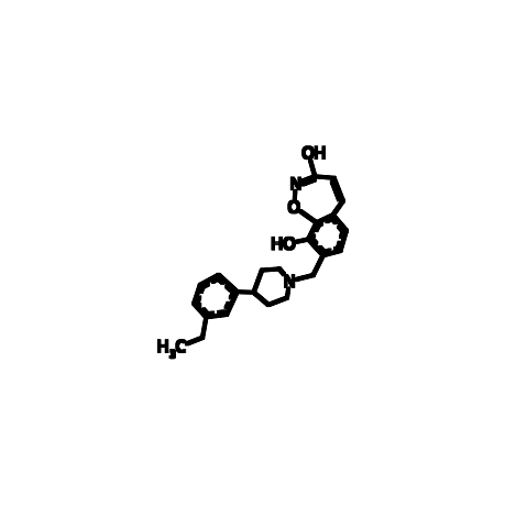 CCc1cccc(C2CCN(Cc3ccc4c(c3O)ON=C(O)C=C4)CC2)c1